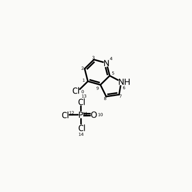 Clc1ccnc2[nH]ccc12.O=P(Cl)(Cl)Cl